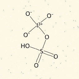 O=S(=O)(O)O[I+3]([O-])([O-])[O-]